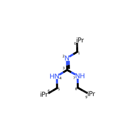 CC(C)CN=C(NCC(C)C)NCC(C)C